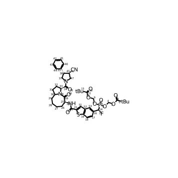 CC(C)(C)C(=O)OCOP(=O)(OCOC(=O)C(C)(C)C)[C@@H](F)c1ccc2sc(C(=O)N[C@H]3CCCCC4CC[C@@H](C(=O)N5C[C@H](c6ccccc6)[C@@H](C#N)C5)N4C3=O)cc2c1